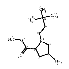 COC(=O)C1C[C@H](N)CN1CCC(C)(C)C